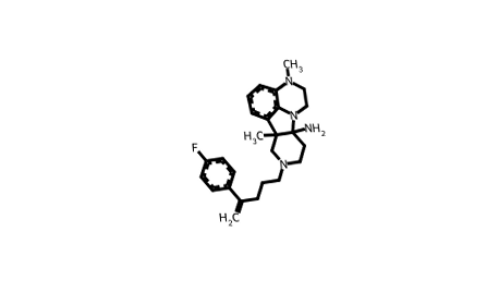 C=C(CCCN1CCC2(N)N3CCN(C)c4cccc(c43)C2(C)C1)c1ccc(F)cc1